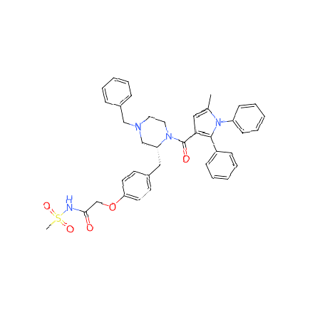 Cc1cc(C(=O)N2CCN(Cc3ccccc3)C[C@H]2Cc2ccc(OCC(=O)NS(C)(=O)=O)cc2)c(-c2ccccc2)n1-c1ccccc1